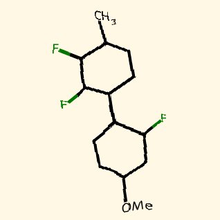 COC1CCC(C2CCC(C)C(F)C2F)C(F)C1